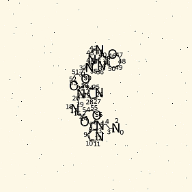 CN(C)CCn1c2c(c3cccnc31)OC(CN(C)CCn1c3c(c4cnccc41)OC(CN(C)CCn1c4c(c5nccnc51)OCCCC4)CCO3)CCO2